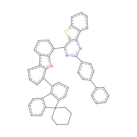 c1ccc(-c2ccc(-c3nc(-c4cccc5c4oc4c(-c6cccc7c6-c6ccccc6C76CCCCC6)cccc45)c4sc5ccccc5c4n3)cc2)cc1